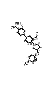 NC(=O)c1ccc(-c2ccc(N3CCC(Oc4ccc(C(F)(F)F)cn4)C3)c(CO)c2)cc1